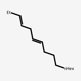 [CH2]CCCCCCCCC=CCC=CCC